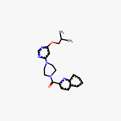 CC(C)COc1cc(N2CCN(C(=O)c3ccc4ccccc4n3)CC2)ncn1